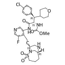 COC(=O)N[C@H](C(=O)Nc1cncc(F)c1CC[C@H]1CN[C@@H]2CCCS(=O)(=O)N1C2)[C@@H](c1ccc(Cl)cc1)C1CCOCC1